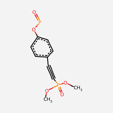 COP(=O)(C#Cc1ccc(OP=O)cc1)OC